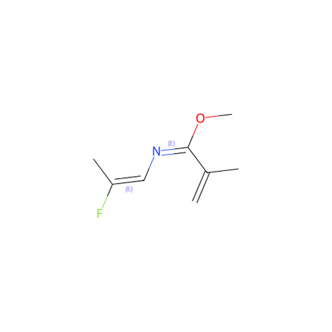 C=C(C)/C(=N\C=C(/C)F)OC